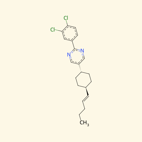 CCC/C=C/[C@H]1CC[C@H](c2cnc(-c3ccc(Cl)c(Cl)c3)nc2)CC1